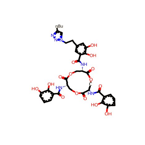 CCCCc1cn(CCc2cc(O)c(O)c(C(=O)N[C@H]3COC(=O)[C@@H](NC(=O)c4cccc(O)c4O)COC(=O)[C@@H](NC(=O)c4cccc(O)c4O)COC3=O)c2)nn1